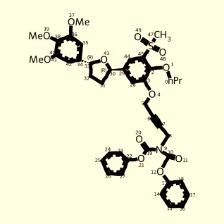 CCCOc1c(OCC#CCN(C(=O)Oc2ccccc2)C(=O)Oc2ccccc2)cc([C@H]2CC[C@H](c3cc(OC)c(OC)c(OC)c3)O2)cc1S(C)(=O)=O